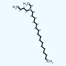 CCCCCCCCCCCCCCCCCN(CC)CCCN